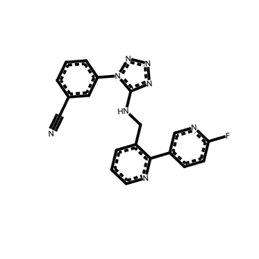 N#Cc1cccc(-n2nnnc2NCc2cccnc2-c2ccc(F)nc2)c1